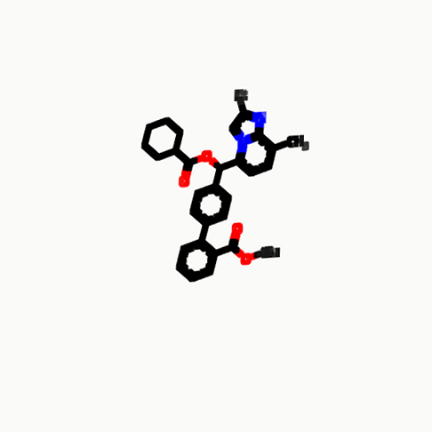 CCc1cn2c([C@H](OC(=O)C3CCCCC3)c3ccc(-c4ccccc4C(=O)OC(C)(C)C)cc3)ccc(C)c2n1